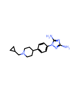 Nc1nc(N)n(-c2ccc(C3CCN(CC4CC4)CC3)cc2)n1